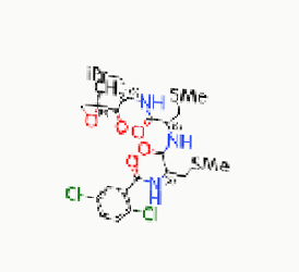 CSC[C@@H](NC(=O)c1cc(Cl)ccc1Cl)C(=O)N[C@H](CSC)C(=O)N[C@@H](CC(C)C)C(=O)[C@@]1(C)CO1